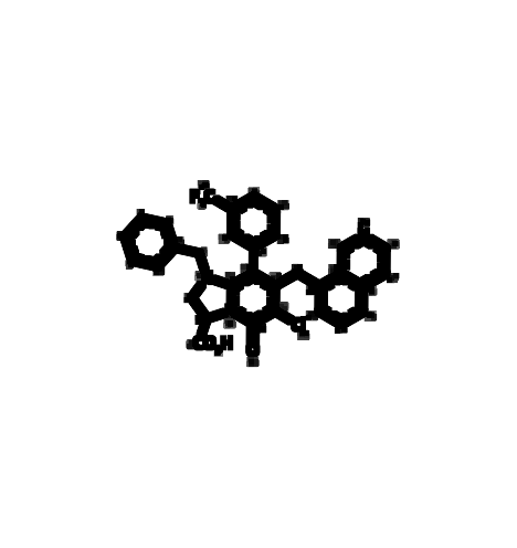 O=C(O)C1CN(Cc2ccccc2)c2c(-c3cccc(C(F)(F)F)c3)c(Cc3cccc4ccncc34)c(Cl)c(=O)n21